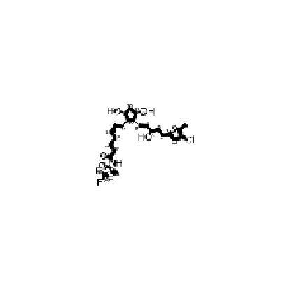 Cc1sc(CC[C@H](O)/C=C/[C@@H]2[C@@H](C/C=C\CCCC(=O)NS(=O)(=O)C(F)(F)F)[C@@H](O)C[C@H]2O)cc1Cl